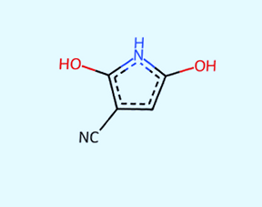 N#Cc1cc(O)[nH]c1O